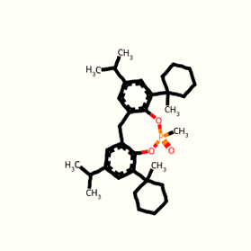 CC(C)c1cc2c(c(C3(C)CCCCC3)c1)OP(C)(=O)Oc1c(cc(C(C)C)cc1C1(C)CCCCC1)C2